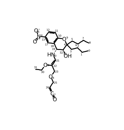 CCCCC1(CCCC)Oc2ccc([N+](=O)[O-])cc2[C@@H](NC=C(COCC=C=O)OCC)[C@@H]1O